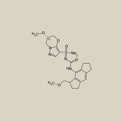 COCC1CCc2cc3c(c(NC(=O)N=S(N)(=O)c4cnn5c4OC[C@@H](OC)C5)c21)CCC3